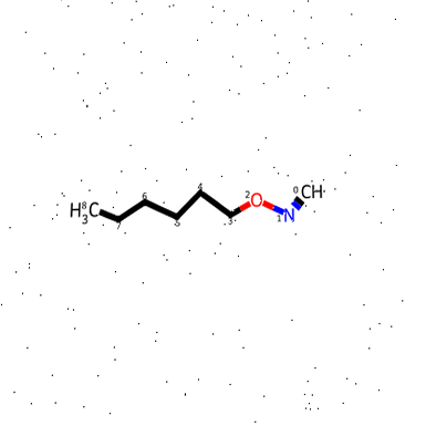 [CH]=NOCCCCCC